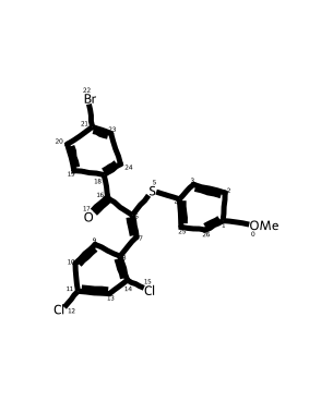 COc1ccc(SC(=Cc2ccc(Cl)cc2Cl)C(=O)c2ccc(Br)cc2)cc1